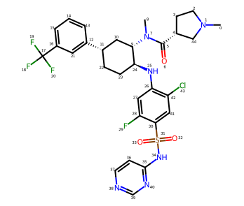 CN1CC[C@@H](C(=O)N(C)[C@H]2C[C@@H](c3cccc(C(F)(F)F)c3)CC[C@@H]2Nc2cc(F)c(S(=O)(=O)Nc3ccncn3)cc2Cl)C1